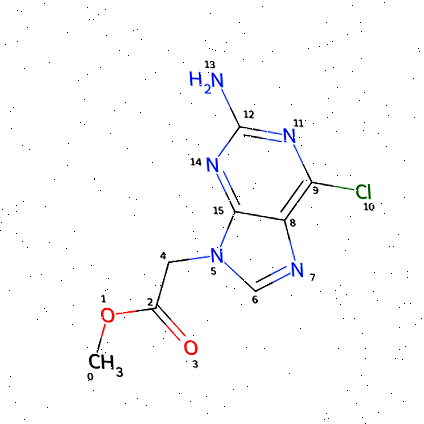 COC(=O)Cn1cnc2c(Cl)nc(N)nc21